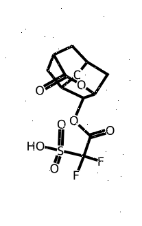 O=C1OC2CC3CC1CC(C3)C2OC(=O)C(F)(F)S(=O)(=O)O